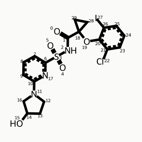 O=C(NS(=O)(=O)c1cccc(N2CCC(O)C2)n1)C1(Oc2c(Cl)cccc2I)CC1